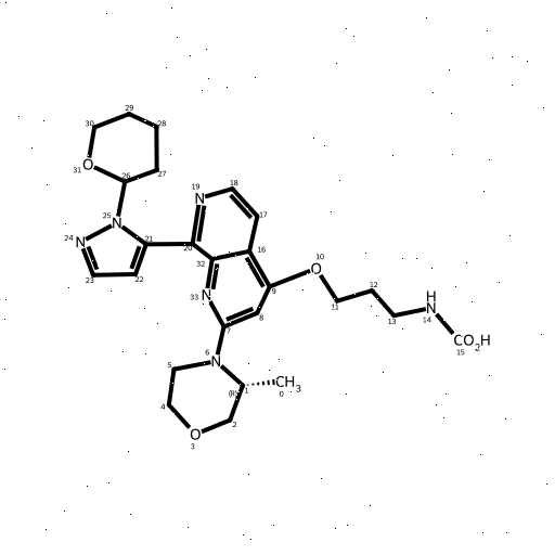 C[C@@H]1COCCN1c1cc(OCCCNC(=O)O)c2ccnc(-c3ccnn3C3CCCCO3)c2n1